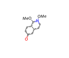 COc1c2ccc(=O)cc-2ccn1OC